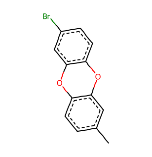 Cc1ccc2c(c1)Oc1ccc(Br)cc1O2